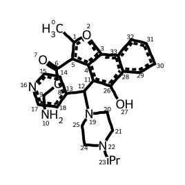 Cc1oc2c(c1C(=O)OCN)c(C(c1ccncc1)N1CCN(C(C)C)CC1)c(O)c1ccccc12